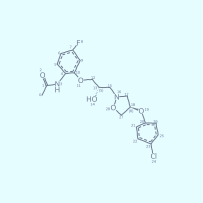 CC(=O)Nc1ccc(F)cc1OC[C@@H](O)CN1C[C@@H](Oc2ccc(Cl)cc2)CO1